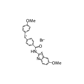 COc1ccc([I+]c2ccc(C(=O)Nc3nc4ccc(OC)cc4s3)cc2)cc1.[Br-]